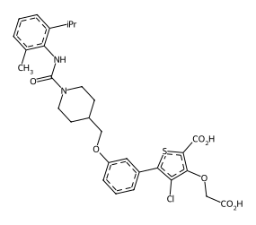 Cc1cccc(C(C)C)c1NC(=O)N1CCC(COc2cccc(-c3sc(C(=O)O)c(OCC(=O)O)c3Cl)c2)CC1